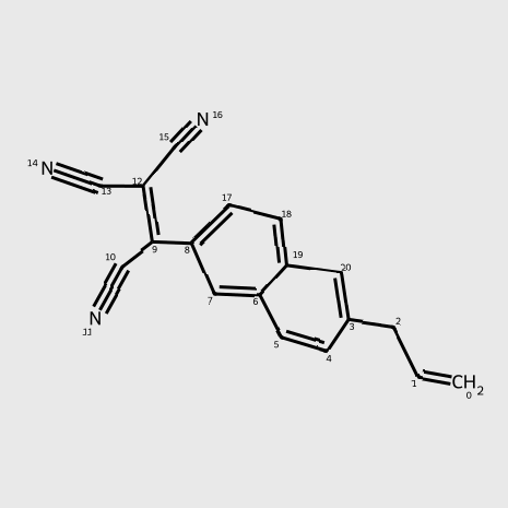 C=CCc1ccc2cc(C(C#N)=C(C#N)C#N)ccc2c1